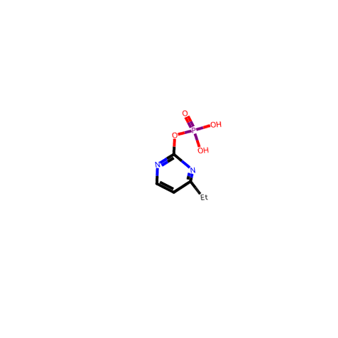 CCc1ccnc(OP(=O)(O)O)n1